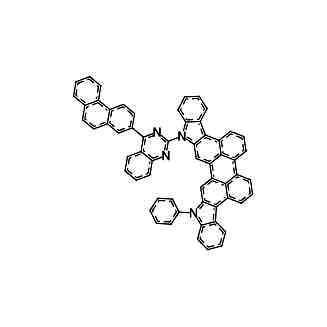 c1ccc(-n2c3ccccc3c3c4cccc5c6cccc7c6c(cc6c7c7ccccc7n6-c6nc(-c7ccc8c(ccc9ccccc98)c7)c7ccccc7n6)c(cc32)c54)cc1